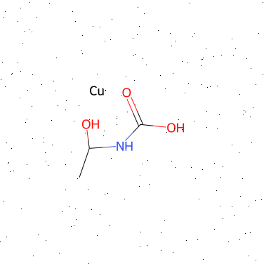 CC(O)NC(=O)O.[Cu]